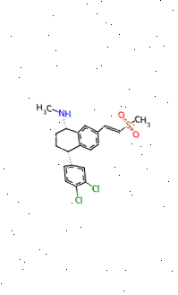 CN[C@H]1CC[C@@H](c2ccc(Cl)c(Cl)c2)c2ccc(C=CS(C)(=O)=O)cc21